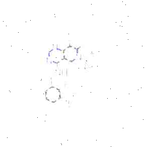 O=c1c(Br)c2ncnc(NCc3cccc(C(F)F)c3F)c2cn1C1(CF)CC1